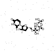 C[C@@]1(F)C[C@@H](COP(=O)(O)OP(=O)(O)OP(=O)(O)O)O[C@H]1n1ccc(=O)[nH]c1=S